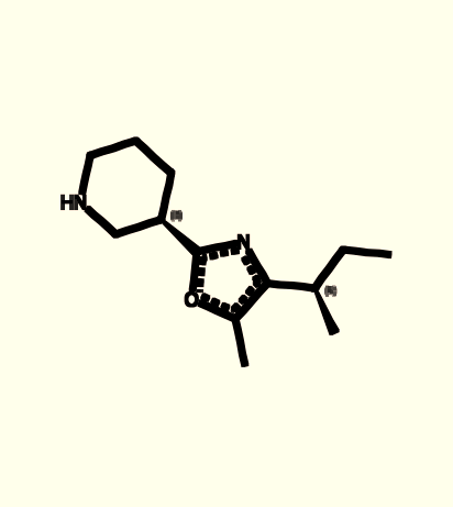 CC[C@@H](C)c1nc([C@@H]2CCCNC2)oc1C